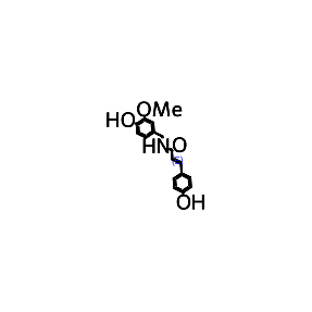 COc1cc(CNC(=O)/C=C/c2ccc(O)cc2)ccc1O